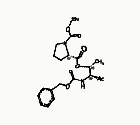 CC(=O)[C@@H](NC(=O)OCc1ccccc1)[C@@H](C)OC(=O)[C@@H]1CCCN1C(=O)OC(C)(C)C